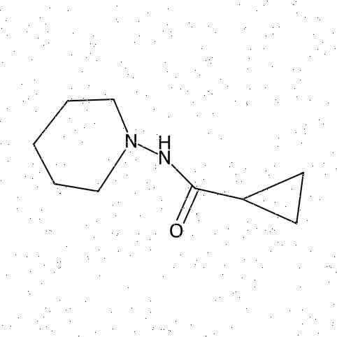 O=C(NN1CCCCC1)C1CC1